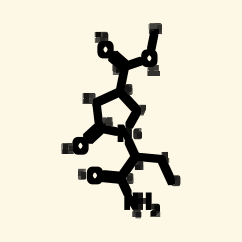 CCC(C(N)=O)N1CC(C(=O)OC)CC1=O